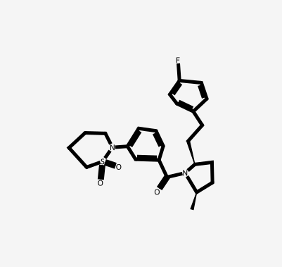 C[C@@H]1CC[C@H](CCc2ccc(F)cc2)N1C(=O)c1cccc(N2CCCCS2(=O)=O)c1